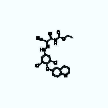 CCOC(=O)NC(=O)/C(C#N)=N/Nc1cc(Cl)c(Oc2ccc3ncccc3c2)c(Cl)c1